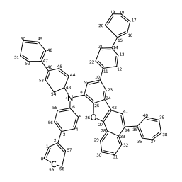 C1=CC(c2ccc(N(c3cc(-c4ccc(-c5ccccc5)cc4)cc4c3oc3c5ccccc5c(-c5ccccc5)cc43)C3C=CC(c4ccccc4)=CC3)cc2)=CCC1